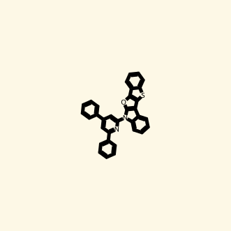 c1ccc(-c2cc(-c3ccccc3)nc(-n3c4ccccc4c4c5sc6ccccc6c5oc43)c2)cc1